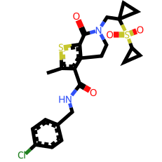 Cc1sc2c(c1C(=O)NCc1ccc(Cl)cc1)CCN(CC1(S(=O)(=O)C3CC3)CC1)C2=O